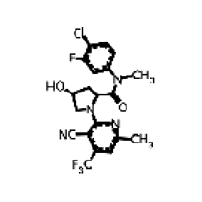 Cc1cc(C(F)(F)F)c(C#N)c(N2C[C@@H](O)C[C@H]2C(=O)N(C)c2ccc(Cl)c(F)c2)n1